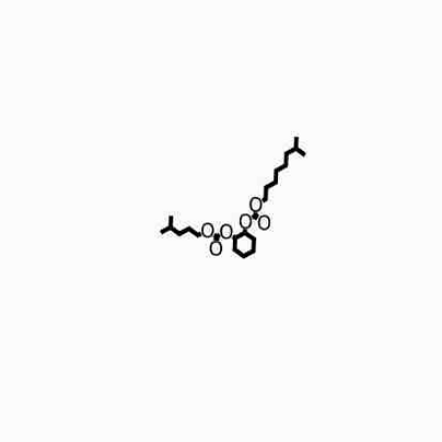 CC(C)CCCCCCOC(=O)OC1CCCCC1OC(=O)OCCCC(C)C